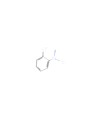 CN(c1ccccc1C(F)(F)F)C(C)(C)C